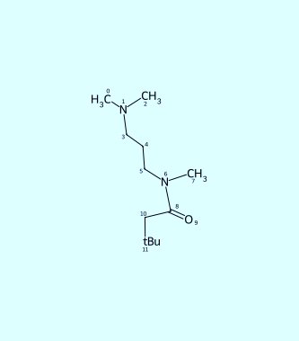 CN(C)CCCN(C)C(=O)CC(C)(C)C